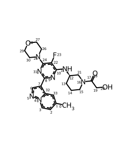 Cc1ccn2ncc(-c3nc(N[C@@H]4CCCN(C(=O)CO)C4)c(F)c(N4CCOCC4)n3)c2c1